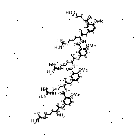 COc1ccc(CC(=O)[C@H](CCCNC(=N)N)NC(=O)c2cc(CC(=O)[C@H](CCCNC(=N)N)NC(=O)c3cc(CC(=O)[C@H](CCCNC(=N)N)NC(=O)c4cc(CC(=O)[C@@H](N)CCCNC(=N)N)ccc4OC)ccc3OC)ccc2OC)cc1C(=O)NCCC(=O)O